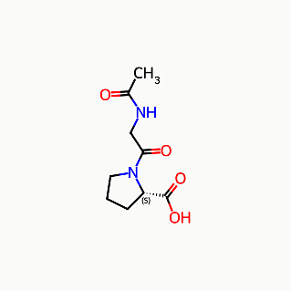 CC(=O)NCC(=O)N1CCC[C@H]1C(=O)O